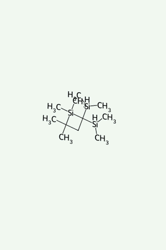 C[SiH](C)C1([SiH](C)C)CC(C)(C)[Si]1(C)C